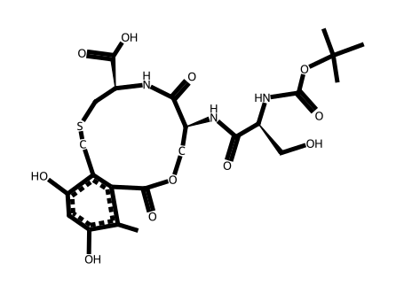 Cc1c(O)cc(O)c2c1C(=O)OC[C@H](NC(=O)[C@H](CO)NC(=O)OC(C)(C)C)C(=O)N[C@H](C(=O)O)CSC2